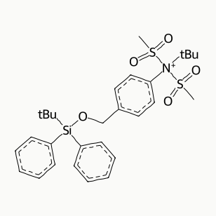 CC(C)(C)[N+](c1ccc(CO[Si](c2ccccc2)(c2ccccc2)C(C)(C)C)cc1)(S(C)(=O)=O)S(C)(=O)=O